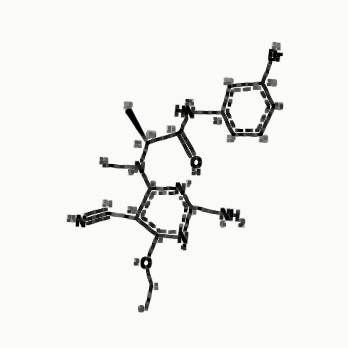 CCOc1nc(N)nc(N(C)[C@@H](C)C(=O)Nc2cccc(Br)c2)c1C#N